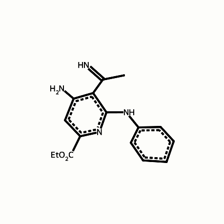 CCOC(=O)c1cc(N)c(C(C)=N)c(Nc2ccccc2)n1